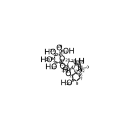 CN1CC[C@]23c4c5ccc(O)c4O[C@H]2[C@@H](OC2O[C@H](C(=O)O)[C@@H](O)[C@H](O)[C@H]2O)CC[C@H]3[C@H]1C5